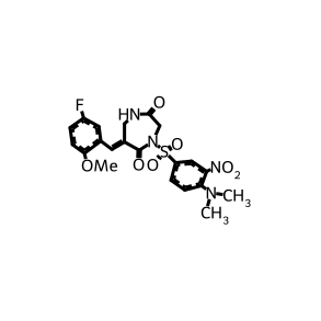 COc1ccc(F)cc1C=C1CNC(=O)CN(S(=O)(=O)c2ccc(N(C)C)c([N+](=O)[O-])c2)C1=O